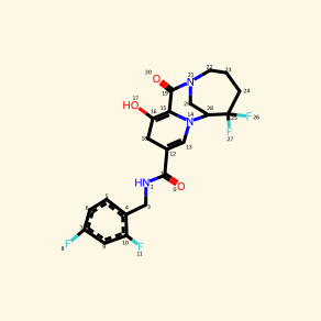 O=C(NCc1ccc(F)cc1F)C1=CN2C(=C(O)C1)C(=O)N1CCCC(F)(F)C2C1